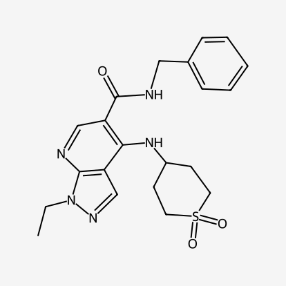 CCn1ncc2c(NC3CCS(=O)(=O)CC3)c(C(=O)NCc3ccccc3)cnc21